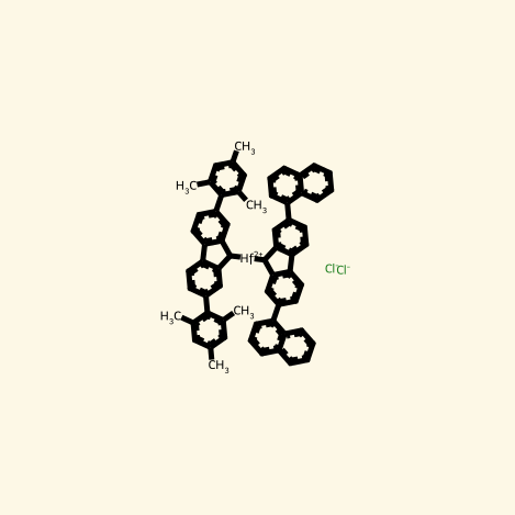 Cc1cc(C)c(-c2ccc3c(c2)[CH]([Hf+2][CH]2c4cc(-c5cccc6ccccc56)ccc4-c4ccc(-c5cccc6ccccc56)cc42)c2cc(-c4c(C)cc(C)cc4C)ccc2-3)c(C)c1.[Cl-].[Cl-]